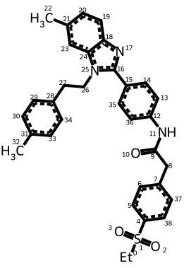 CCS(=O)(=O)c1ccc(CC(=O)Nc2ccc(-c3nc4ccc(C)cc4n3CCc3ccc(C)cc3)cc2)cc1